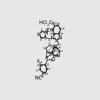 CCn1cncc1Cn1c(CN2CCC3(c4cccnc4OCc4ccc(C#N)cc4F)CC3C2)nc2ccc(C(=O)O)cc21